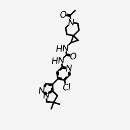 CC(=O)N1CCC2(CC1)CC2NC(=O)Nc1cc(-c2cnn3c2CC(C)(C)C3)c(Cl)cn1